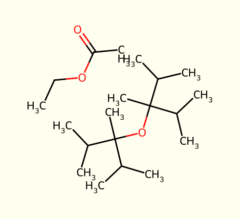 CC(C)C(C)(OC(C)(C(C)C)C(C)C)C(C)C.CCOC(C)=O